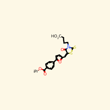 CC(C)OC(=O)c1ccc(-c2ccc(/C=C3/SC(=S)N(CCCC(=O)O)C3=O)o2)cc1